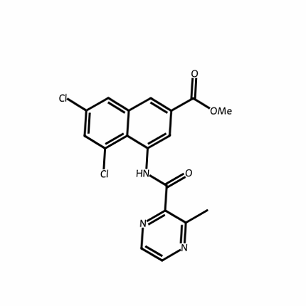 COC(=O)c1cc(NC(=O)c2nccnc2C)c2c(Cl)cc(Cl)cc2c1